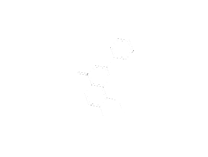 O=c1cc(-c2ccccc2)oc2c(OS(=O)(=O)O)c(O)ccc12